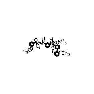 COc1cccc(C(=O)NCCNc2cccc(NS(=O)(=O)c3cc(-c4c(F)cccc4OC)ccc3OC)c2)c1